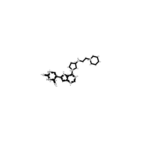 O=c1[nH]cc(-c2cc3ncnc(N4CCC(OCCN5CCCCC5)C4)c3s2)c(=O)[nH]1